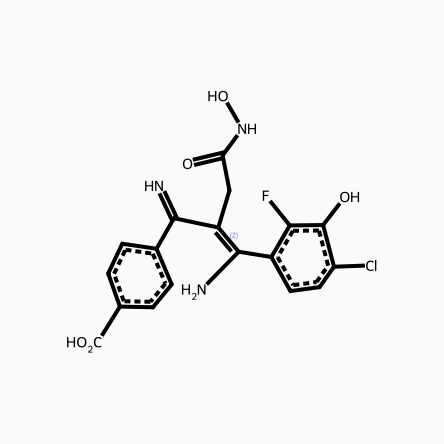 N=C(/C(CC(=O)NO)=C(\N)c1ccc(Cl)c(O)c1F)c1ccc(C(=O)O)cc1